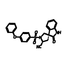 N#C[C@@H]1C[C@@]2(CN1S(=O)(=O)c1ccc(Oc3ccccc3)cc1)C(=O)Nc1ccccc12